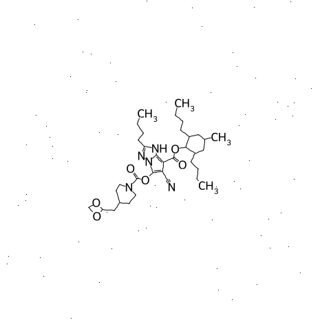 CCCCc1nn2c(OC(=O)N3CCC(CC4OCO4)CC3)c(C#N)c(C(=O)OC3C(CCCC)CC(C)CC3CCCC)c2[nH]1